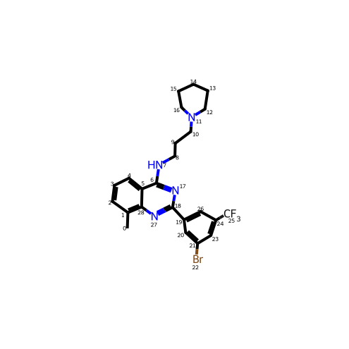 Cc1cccc2c(NCCCN3CCCCC3)nc(-c3cc(Br)cc(C(F)(F)F)c3)nc12